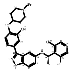 CC(C)N1CCC(Oc2ccc(-c3n[nH]c4ccc(O[C@H](C)c5c(Cl)cncc5Cl)cc34)cc2C#N)CC1